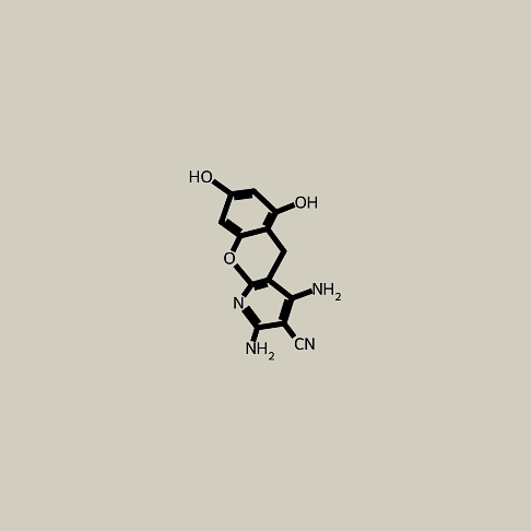 N#Cc1c(N)nc2c(c1N)Cc1c(O)cc(O)cc1O2